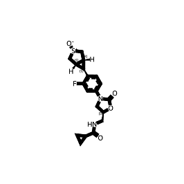 O=C(NC[C@H]1CN(c2ccc([C@H]3[C@@H]4C[S+]([O-])C[C@@H]43)c(F)c2)C(=O)O1)C1CC1